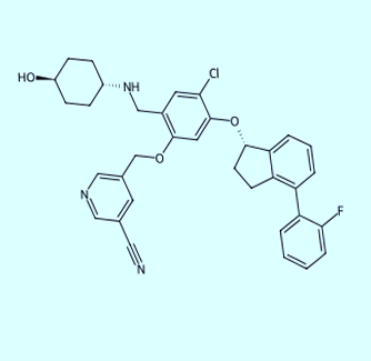 N#Cc1cncc(COc2cc(O[C@H]3CCc4c(-c5ccccc5F)cccc43)c(Cl)cc2CN[C@H]2CC[C@H](O)CC2)c1